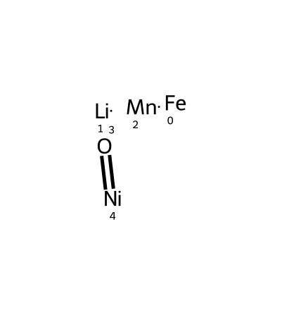 [Fe].[Li].[Mn].[O]=[Ni]